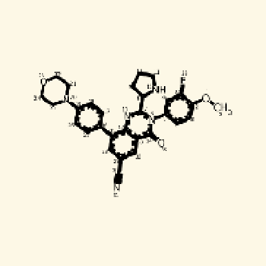 COc1ccc(-n2c(C3CCCN3)nc3c(-c4ccc(N5CCOCC5)cc4)cc(C#N)cc3c2=O)cc1F